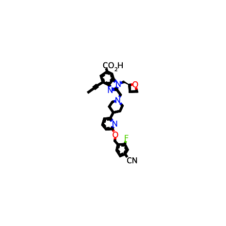 CC#Cc1cc(C(=O)O)cc2c1nc(CN1CCC(c3cccc(OCc4ccc(C#N)cc4F)n3)CC1)n2C[C@@H]1CCO1